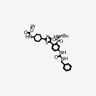 CC(C)OC(=O)NC1CCC(c2ncc(-c3ccc(NC(=O)NCc4ccccc4)cc3S(=O)(=O)NC(C)(C)C)s2)CC1